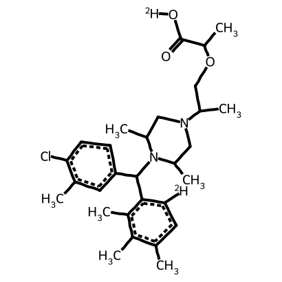 [2H]OC(=O)C(C)OCC(C)N1CC(C)N(C(c2ccc(Cl)c(C)c2)c2c([2H])cc(C)c(C)c2C)C(C)C1